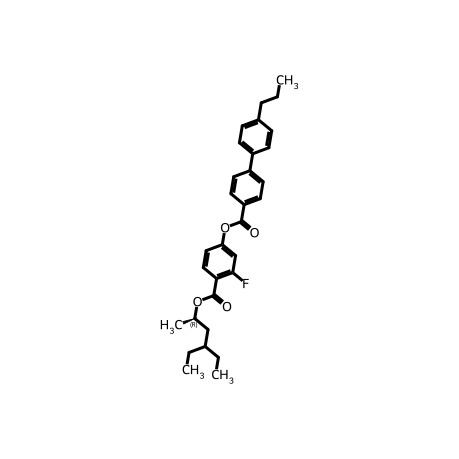 CCCc1ccc(-c2ccc(C(=O)Oc3ccc(C(=O)O[C@H](C)CC(CC)CC)c(F)c3)cc2)cc1